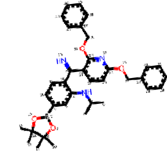 CC(C)Nc1cc(B2OC(C)(C)C(C)(C)O2)ccc1C(=N)c1ccc(OCc2ccccc2)nc1OCc1ccccc1